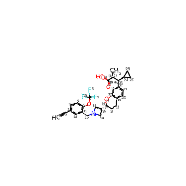 C#Cc1ccc(OC(F)(F)F)c(CN2CC([C@H]3CCc4ccc([C@H](C5CC5)[C@H](C)C(=O)O)cc4O3)C2)c1